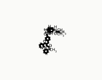 COC(=O)c1c(Cc2ccc(C(=O)N[C@@H]3[C@@H]4C[C@@H]5C[C@H]3C[C@@](NC(=O)C(C)(C)C)(C5)C4)cc2)c(=O)c2cccnc2n1-c1ccccc1